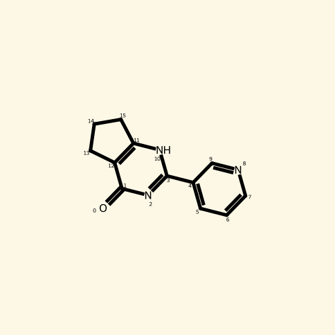 O=c1nc(-c2cccnc2)[nH]c2c1CCC2